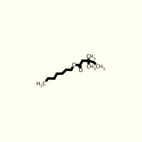 CCCCCCCOC(=O)CC(C)(C)CC